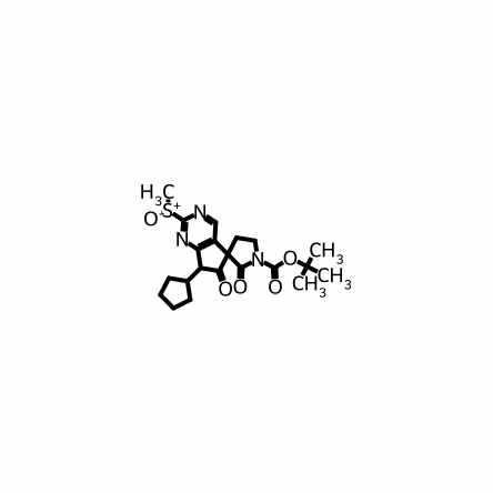 C[S+]([O-])c1ncc2c(n1)C(C1CCCC1)C(=O)C21CCN(C(=O)OC(C)(C)C)C1=O